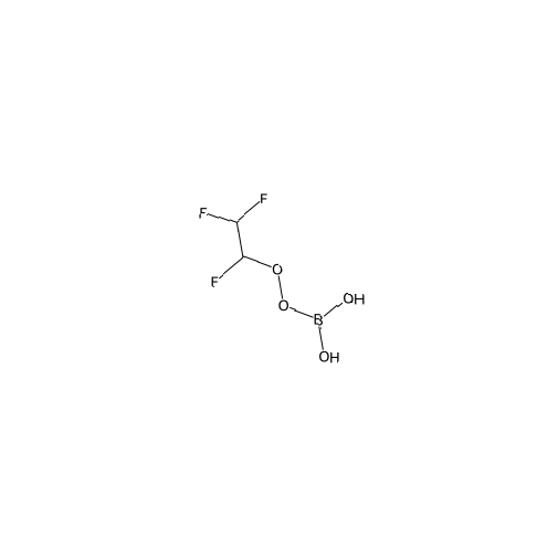 OB(O)OOC(F)C(F)F